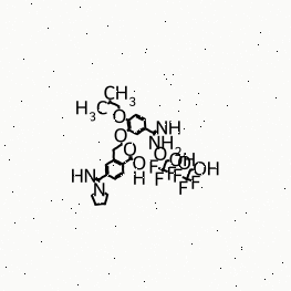 CC(C)COc1ccc(C(=N)N)cc1OCCc1cc(C(=N)N2CCCC2)ccc1C(=O)O.O=C(O)C(F)(F)F.O=C(O)C(F)(F)F